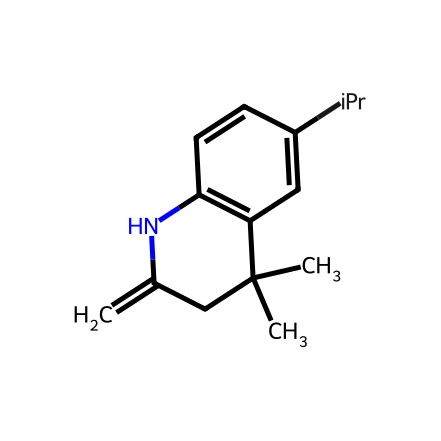 C=C1CC(C)(C)c2cc(C(C)C)ccc2N1